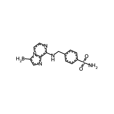 Bc1cnc2c(NCc3ccc(S(N)(=O)=O)cc3)nccn12